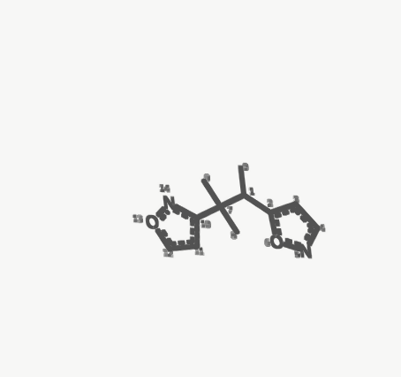 CC(c1ccno1)C(C)(C)c1ccon1